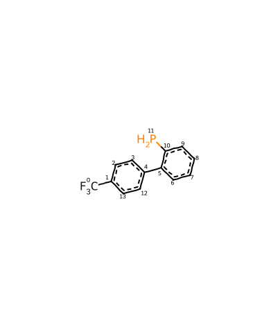 FC(F)(F)c1ccc(-c2ccccc2P)cc1